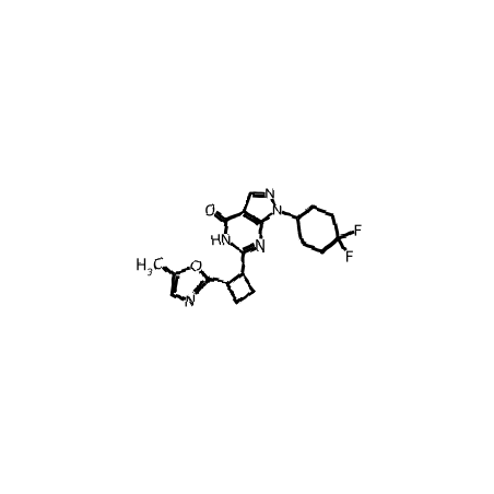 Cc1cnc([C@@H]2CCC2c2nc3c(cnn3C3CCC(F)(F)CC3)c(=O)[nH]2)o1